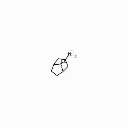 CCN1C2CCC1CC(N)C2